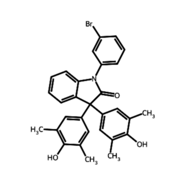 Cc1cc(C2(c3cc(C)c(O)c(C)c3)C(=O)N(c3cccc(Br)c3)c3ccccc32)cc(C)c1O